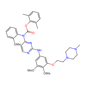 COc1ccccc1N(C(=O)Oc1c(C)cccc1C)c1ccnc(Nc2cc(OC)c(OC)c(OCCN3CCN(C)CC3)c2)n1